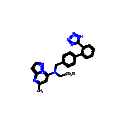 CCOC(=O)CN(Cc1ccc(-c2ccccc2-c2nnn[nH]2)cc1)c1cc(C)nc2ccnn12